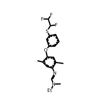 CCN(C)C=Nc1cc(C)c(Oc2cccc(SC(F)C(F)F)c2)cc1C